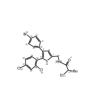 CCCCC(CC)C(=O)NCc1cc(-c2ccc(Br)cc2)c(-c2ccc(Cl)cc2Cl)s1